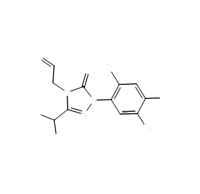 C=CCn1c(C(F)F)nn(-c2cc(O)c(Cl)cc2Cl)c1=O